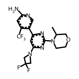 CC1COCCN1c1nc(-c2cnc(N)cc2C(F)(F)F)cc(N2CC(F)(F)C2)n1